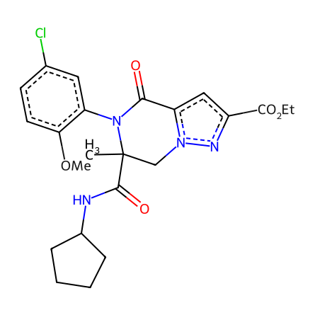 CCOC(=O)c1cc2n(n1)CC(C)(C(=O)NC1CCCC1)N(c1cc(Cl)ccc1OC)C2=O